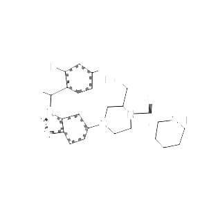 CC(c1ccc(Cl)cc1F)n1nnc2ccc(N3CCN(C(=O)[C@H]4CCCCN4)C(CO)C3)cc21